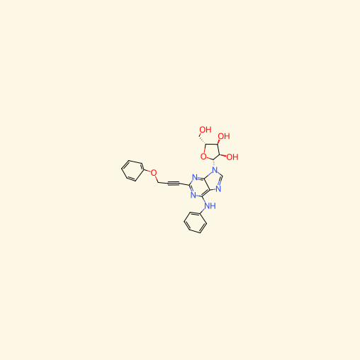 OC[C@H]1O[C@@H](n2cnc3c(Nc4ccccc4)nc(C#CCOc4ccccc4)nc32)[C@H](O)[C@@H]1O